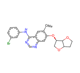 COc1cc2c(Nc3cccc(Br)c3)ncnc2cc1O[C@@H]1COC2CCOC21